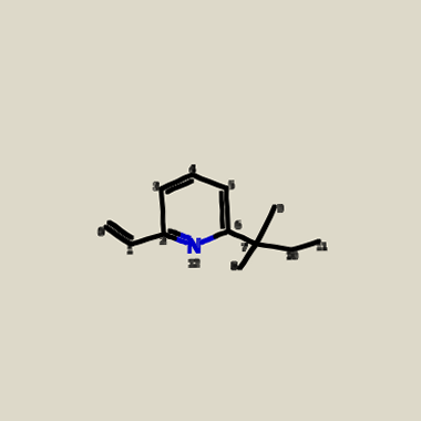 C=Cc1cccc(C(C)(C)CC)n1